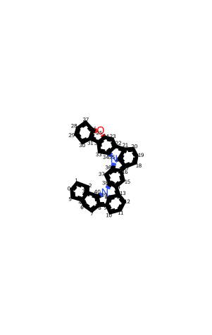 c1ccc2c(c1)ccc1c3cccc4c5cc6c7cccc8c9cc%10oc%11ccccc%11c%10cc9n(c6cc5n(c21)c43)c87